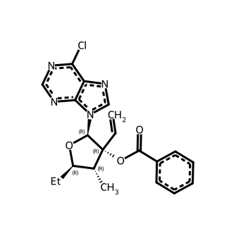 C=C[C@@]1(OC(=O)c2ccccc2)[C@H](C)[C@@H](CC)O[C@H]1n1cnc2c(Cl)ncnc21